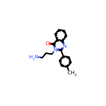 Cc1ccc(-c2nc3ccccc3c(=O)n2CCCN)cc1